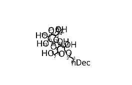 CCCCCCCCCCCCO[C@H]1OC(CO)[C@@H](O[C@H]2OC(CO)[C@@H](OC(C)=O)[C@H](O)C2O)[C@H](O)C1O